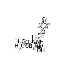 CC(C)(C)OC(=O)N/C(=N/C(=O)O)NCCCOc1ccc(Cl)cc1